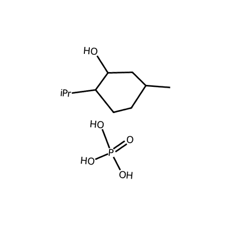 CC1CCC(C(C)C)C(O)C1.O=P(O)(O)O